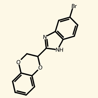 Brc1ccc2[nH]c(C3COc4ccccc4O3)nc2c1